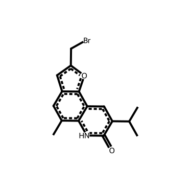 Cc1cc2cc(CBr)oc2c2cc(C(C)C)c(=O)[nH]c12